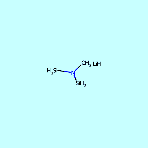 CN([SiH3])[SiH3].[LiH]